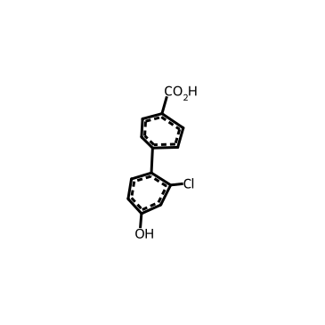 O=C(O)c1ccc(-c2ccc(O)cc2Cl)cc1